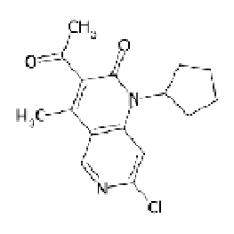 CC(=O)c1c(C)c2cnc(Cl)cc2n(C2CCCC2)c1=O